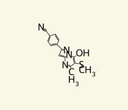 CSc1c(C)nc2cc(-c3ccc(C#N)cc3)nn2c1O